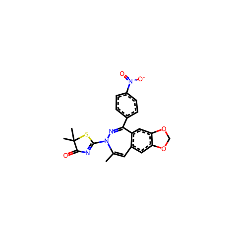 CC1=Cc2cc3c(cc2C(c2ccc([N+](=O)[O-])cc2)=NN1C1=NC(=O)C(C)(C)S1)OCO3